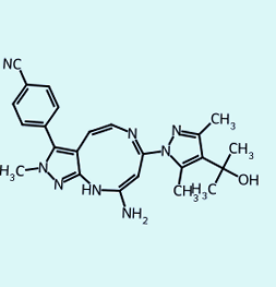 Cc1nn(-c2cc(N)[nH]c3nn(C)c(-c4ccc(C#N)cc4)c3ccn2)c(C)c1C(C)(C)O